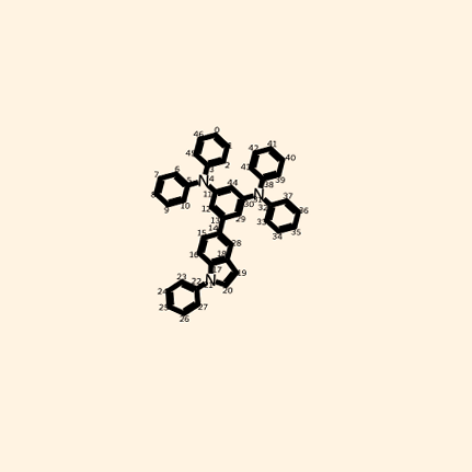 c1ccc(N(c2ccccc2)c2cc(-c3ccc4c(ccn4-c4ccccc4)c3)cc(N(c3ccccc3)c3ccccc3)c2)cc1